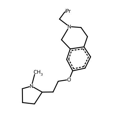 CC(C)CN1CCc2ccc(OCCC3CCCN3C)cc2C1